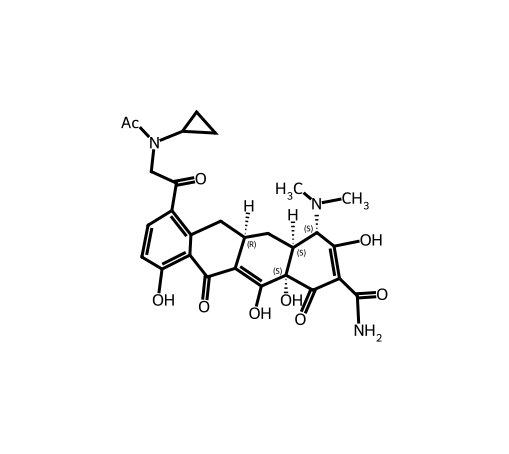 CC(=O)N(CC(=O)c1ccc(O)c2c1C[C@H]1C[C@H]3[C@H](N(C)C)C(O)=C(C(N)=O)C(=O)[C@@]3(O)C(O)=C1C2=O)C1CC1